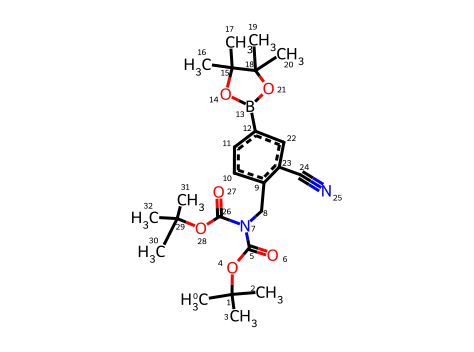 CC(C)(C)OC(=O)N(Cc1ccc(B2OC(C)(C)C(C)(C)O2)cc1C#N)C(=O)OC(C)(C)C